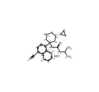 CC(C)[C@H](O)C(=O)N[C@@]1(c2ccc(C#N)c3nccnc23)CNC[C@H](C2CC2)C1